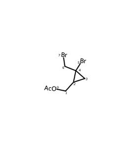 CC(=O)OCC1CC1(Br)CBr